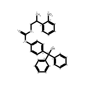 CC(COC(=O)Oc1ccc(C(O)(c2ccccc2)c2ccccc2)cc1)c1ccccc1[N+](=O)[O-]